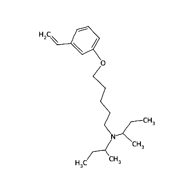 C=Cc1cccc(OCCCCCN(C(C)CC)C(C)CC)c1